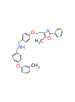 Cc1cccc(Oc2ccc(CNCc3ccc(OCCc4nc(-c5ccccc5)oc4C)cc3)cc2)c1